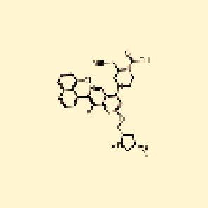 CO[C@@H]1C[C@@H](COc2nc(N3CCN(C(=O)O)C(CC#N)C3)c3cnc(-c4cccc5cccc(Cl)c45)c(F)c3n2)N(C)C1